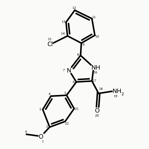 COc1ccc(-c2nc(-c3ccccc3Cl)[nH]c2C(N)=O)cc1